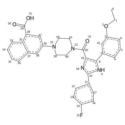 CCOc1cccc(-c2[nH]c(-c3ccc(F)cc3)nc2C(=O)N2CCN(c3cc(C(=O)O)c4ccccc4c3)CC2)c1